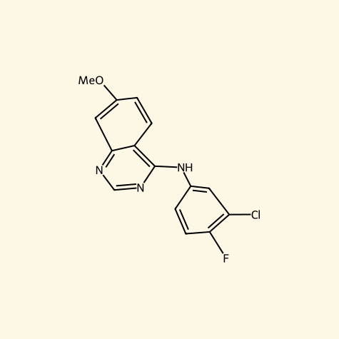 COc1ccc2c(Nc3ccc(F)c(Cl)c3)ncnc2c1